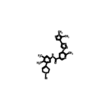 CCN1CC=C(c2cc(NC(=O)c3cnc(C)c(-n4cc(-c5cnn(C)c5C)nn4)c3)cc(C(F)(F)F)c2C)CC1